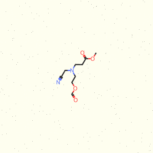 COC(=O)CCN(CC#N)CCOC=O